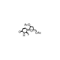 CC(=O)OC[C@@H]1C[C@H](OC(C)=O)[C@H](n2ccc(=O)[nH]c2=S)O1